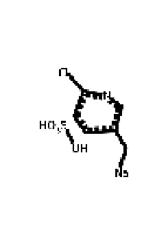 O=S(=O)(O)O.[Na][CH2]c1ccc(Cl)nc1